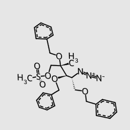 C[C@@](COS(C)(=O)=O)(OCc1ccccc1)[C@H](OCc1ccccc1)[C@@H](COCc1ccccc1)N=[N+]=[N-]